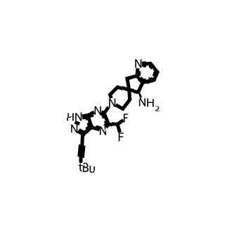 CC(C)(C)C#Cc1n[nH]c2nc(N3CCC4(CC3)Cc3ncccc3[C@H]4N)c(C(F)F)nc12